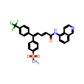 CS(=O)(=O)c1ccc(/C(=C\C=C\C(=O)Nc2cccc3cnccc23)c2ccc(C(F)(F)F)cc2)cc1